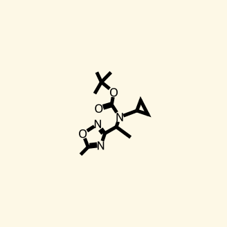 Cc1nc(C(C)N(C(=O)OC(C)(C)C)C2CC2)no1